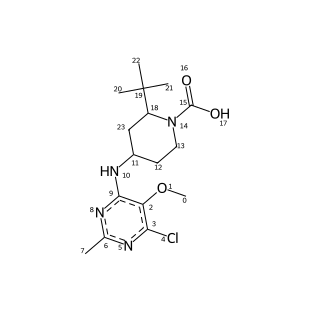 COc1c(Cl)nc(C)nc1NC1CCN(C(=O)O)C(C(C)(C)C)C1